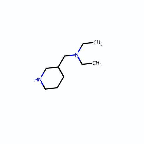 CCN(CC)CC1CCCNC1